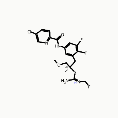 COC[C@@](C)(Cc1cc(NC(=O)c2ccc(Cl)cn2)cc(F)c1F)S/C(N)=N\CF